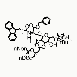 CCCCCCCCCCC[C@H](CC(=O)OC1C(N)C(OC[C@@H](NC(=O)OCC2c3ccccc3-c3ccccc32)C(=O)OCc2ccccc2)OC(CO[Si](C)(C)C(C)(C)C)C1O)OC(=O)CCCCCCCCC